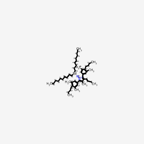 CCCCC1=C(c2cc(C)c(CCCC)c(C)c2)[N+](=[N-])C(c2cc(C)c(CCCC)c(C)c2)=C1C.CCCCCCCCC[CH2][Pd][CH2]CCCCCCCCC